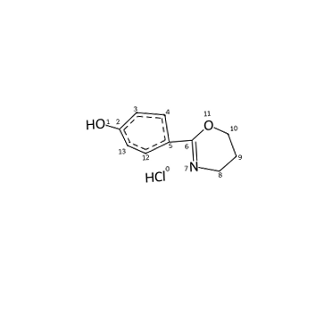 Cl.Oc1ccc(C2=NCCCO2)cc1